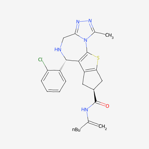 C=C(CCCC)NC(=O)[C@@H]1Cc2sc3c(c2C1)[C@H](c1ccccc1Cl)NCc1nnc(C)n1-3